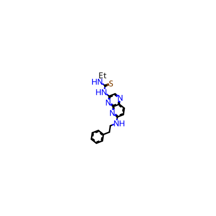 CCNC(=S)Nc1cnc2ccc(NCCc3ccccc3)nc2n1